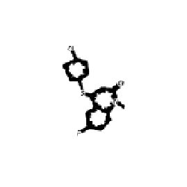 Cn1c(=O)cc(Sc2ccc(Cl)cc2)c2cc(F)ccc21